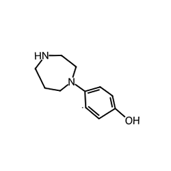 Oc1c[c]c(N2CCCNCC2)cc1